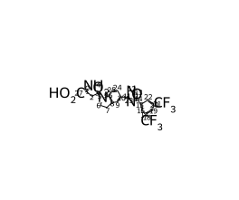 N[C@@H](CC(=O)N1CCc2cc(-c3noc(-c4cc(C(F)(F)F)cc(C(F)(F)F)c4)n3)ccc21)C(=O)O